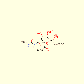 CCCCNC(=O)NCO[C@]1(C(=O)OC)C[C@@H](O)[C@@H](O)C([C@H](O)COC(C)=O)O1